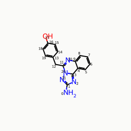 Nc1nc2c3ccccc3nc(Cc3ccc(O)cc3)n2n1